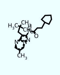 Cc1cnc2c(CC(C)(C)C)c(NC(=O)CCC3CCCCC3)nn2c1